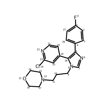 Fc1ccc(-c2ncn(CCCN3CCOCC3)c2-c2ccnc(Cl)c2)cc1